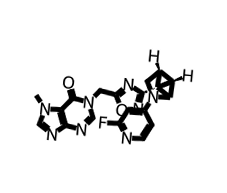 Cn1cnc2ncn(Cc3nc([C@@]45C6[C@H]4[C@H]5CN6c4ccnc(F)c4)no3)c(=O)c21